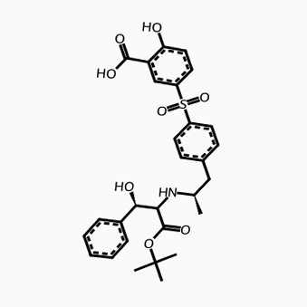 C[C@H](Cc1ccc(S(=O)(=O)c2ccc(O)c(C(=O)O)c2)cc1)NC(C(=O)OC(C)(C)C)[C@H](O)c1ccccc1